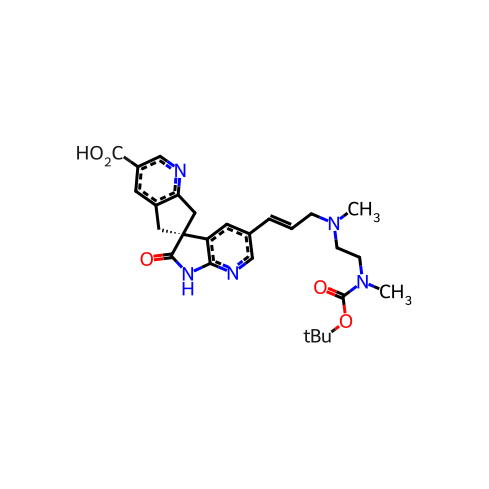 CN(C/C=C/c1cnc2c(c1)[C@@]1(Cc3cc(C(=O)O)cnc3C1)C(=O)N2)CCN(C)C(=O)OC(C)(C)C